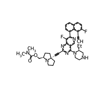 C#Cc1c(F)ccc2cccc(-c3ncc4c(N5CCNC[C@@H]5CC)nc(C#C[C@]56CCCN5[C@@H](COC(=O)N(C)C)CC6)nc4c3F)c12